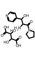 NC(C(=O)N1CCCC1)C(O)c1ccncc1.O=C(O)C(O)C(O)C(=O)O